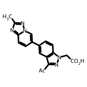 CC(=O)c1nn(CC(=O)O)c2ccc(-c3ccc4nc(C)nn4c3)cc12